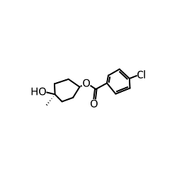 C[C@]1(O)CC[C@H](OC(=O)c2ccc(Cl)cc2)CC1